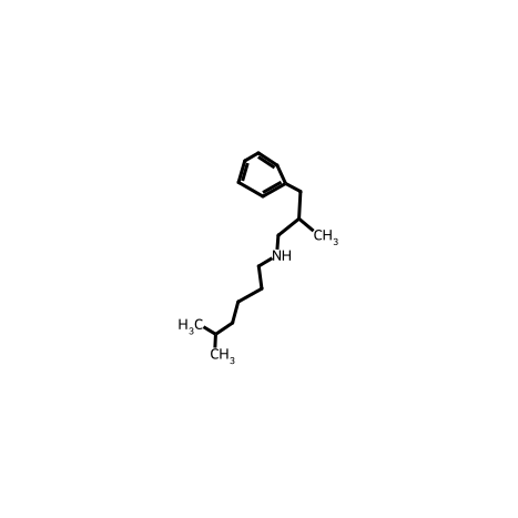 CC(C)CCCCNCC(C)Cc1ccccc1